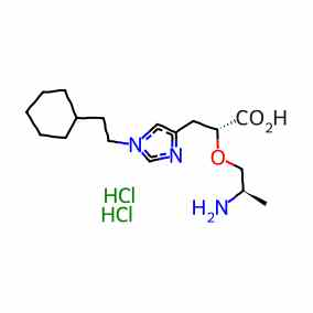 C[C@@H](N)CO[C@H](Cc1cn(CCC2CCCCC2)cn1)C(=O)O.Cl.Cl